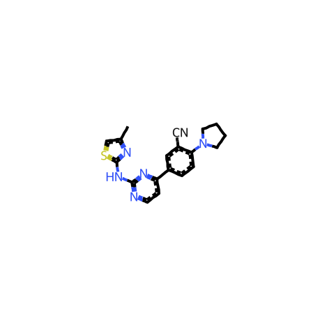 Cc1csc(Nc2nccc(-c3ccc(N4CCCC4)c(C#N)c3)n2)n1